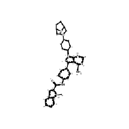 CN1C2CCC1CN(C1CCC(n3nc(-c4ccc(NC(=O)c5cc6ccccc6n5C)cc4)c4c(N)ncnc43)CC1)C2